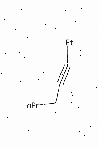 CCC#CC[CH]CC